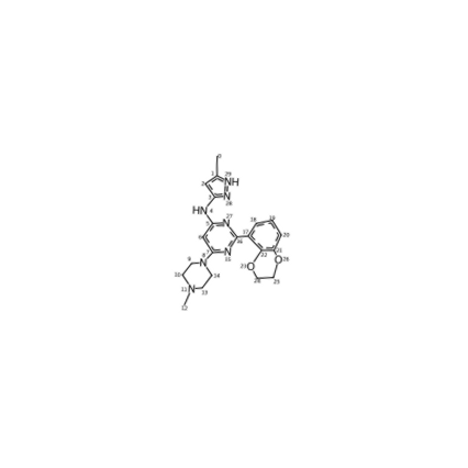 Cc1cc(Nc2cc(N3CCN(C)CC3)nc(-c3cccc4c3OCCO4)n2)n[nH]1